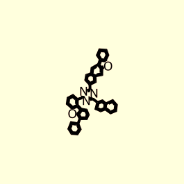 c1ccc(-c2cccc3c2oc2cccc(-c4nc(-c5ccc6ccccc6c5)nc(-c5ccc6cc7c(cc6c5)oc5ccccc57)n4)c23)cc1